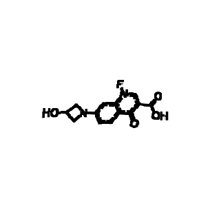 O=C(O)c1cn(F)c2cc(N3CC(O)C3)ccc2c1=O